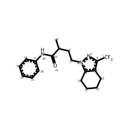 CC(CCn1nc(C(F)(F)F)c2c1CCCC2)C(=O)Nc1ccccc1